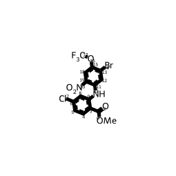 COC(=O)c1ccc(Cl)cc1Nc1cc(Br)c(OC(F)(F)F)cc1[N+](=O)[O-]